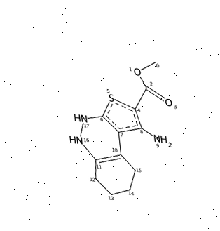 COC(=O)c1sc2c(c1N)C1=C(CCCC1)NN2